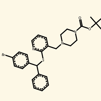 CC(C)(C)OC(=O)N1CCN(Cc2cccnc2SC(c2ccccc2)c2ccc(Br)cc2)CC1